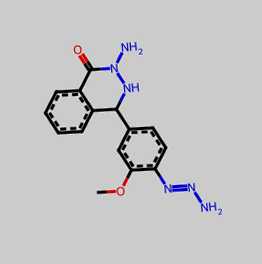 COc1cc(C2NN(N)C(=O)c3ccccc32)ccc1N=NN